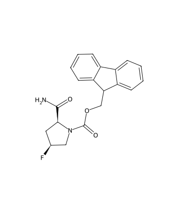 NC(=O)[C@@H]1C[C@H](F)CN1C(=O)OCC1c2ccccc2-c2ccccc21